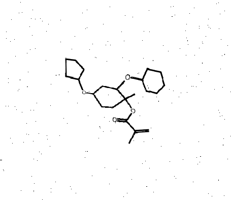 C=C(C)C(=O)OC1(C)CCC(OC2CCCC2)CC1OC1CCCCC1